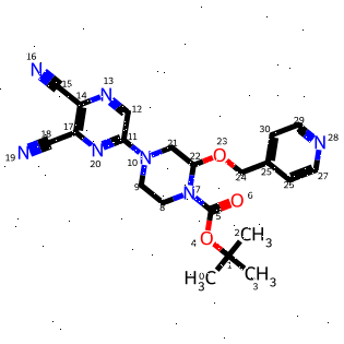 CC(C)(C)OC(=O)N1CCN(c2cnc(C#N)c(C#N)n2)CC1OCc1ccncc1